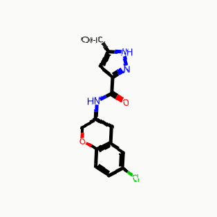 O=Cc1cc(C(=O)NC2COc3ccc(Cl)cc3C2)n[nH]1